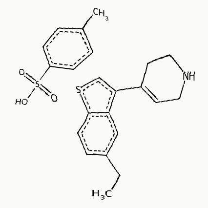 CCc1ccc2scc(C3=CCNCC3)c2c1.Cc1ccc(S(=O)(=O)O)cc1